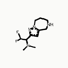 CN(C)C(c1cc2n(n1)CCCNC2)C(F)F